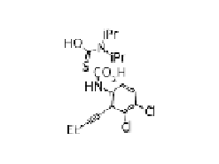 CC(C)N(C(O)=S)C(C)C.CCC#Cc1c(NC(=O)O)ccc(Cl)c1Cl